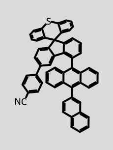 N#Cc1ccc(-c2ccc3c(c2)-c2c(-c4c5ccccc5c(-c5ccc6ccccc6c5)c5ccccc45)cccc2C32c3ccccc3Sc3ccccc32)cc1